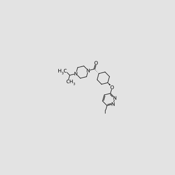 CC(C)N1CCN(C(=O)[C@H]2CC[C@H](Oc3ccc(I)nn3)CC2)CC1